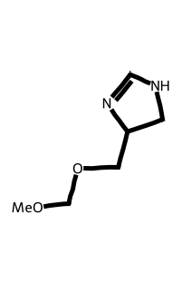 COCOCC1CN[C]=N1